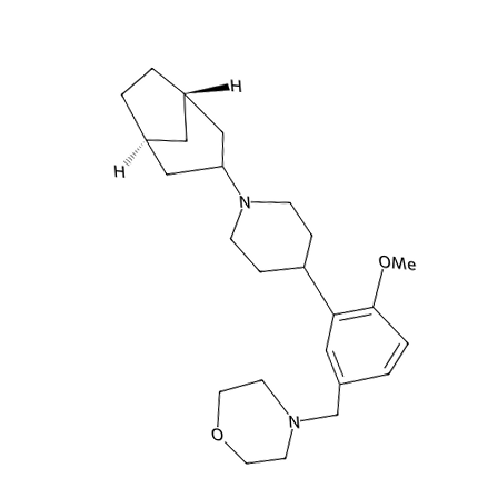 COc1ccc(CN2CCOCC2)cc1C1CCN(C2C[C@H]3CC[C@H](C2)C3)CC1